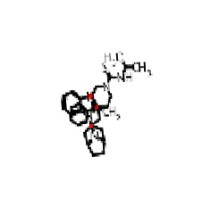 Cc1nc2ccccc2n1C1CC2CCC(C1)N2CCC1(c2ccccc2)CCN(C(=S)NC(C)C)CC1